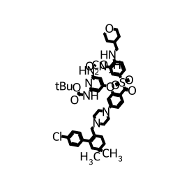 CC1(C)CCC(CN2CCN(c3ccc(C(=O)S(=O)(=O)c4ccc(NCC5CCOCC5)c([N+](=O)[O-])c4)c(Oc4cc(NC(=O)O)nc(NC(=O)OC(C)(C)C)c4)c3)CC2)=C(c2ccc(Cl)cc2)C1